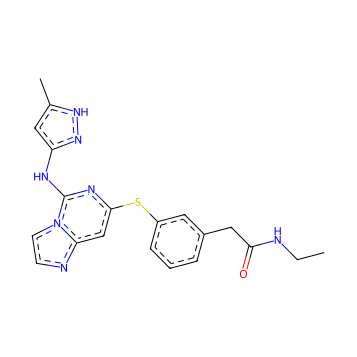 CCNC(=O)Cc1cccc(Sc2cc3nccn3c(Nc3cc(C)[nH]n3)n2)c1